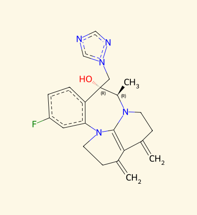 C=C1CCN2C3=C1C(=C)CCN3[C@H](C)[C@](O)(Cn1cncn1)c1ccc(F)cc12